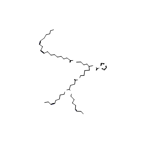 CC/C=C\CCCCOC(CCC(=O)OCCCCC(CCCCOC(=O)CCCCCCC/C=C\C/C=C\CCCCC)OC(=O)n1ccnc1)OCCCC/C=C\CC